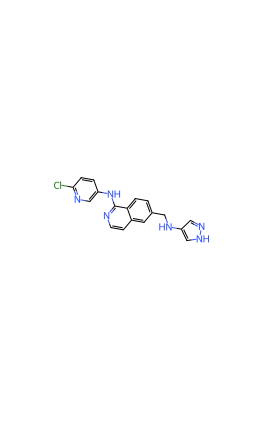 Clc1ccc(Nc2nccc3cc(CNc4cn[nH]c4)ccc23)cn1